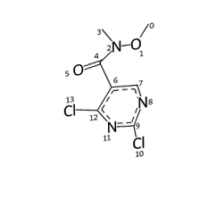 CON(C)C(=O)c1cnc(Cl)nc1Cl